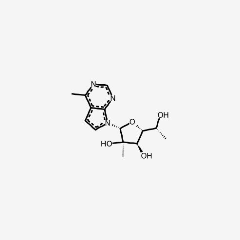 Cc1ncnc2c1ccn2[C@@H]1O[C@H]([C@@H](C)O)[C@@H](O)[C@@]1(C)O